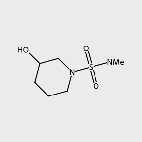 CNS(=O)(=O)N1CCCC(O)C1